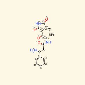 CC(C)[C@H](NC(=O)CC(N)c1ccccc1)C(=O)[C@@H]1C(=O)NC(=O)[C@H]1C